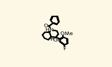 COc1ccc(F)cc1C1(O)CCN(C(=O)c2ccccc2)[C@H]2CCCC[C@@H]21